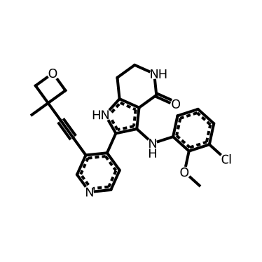 COc1c(Cl)cccc1Nc1c(-c2ccncc2C#CC2(C)COC2)[nH]c2c1C(=O)NCC2